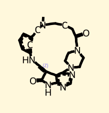 CN1CCCC(=O)N2CCN(CC2)c2ncnc3c2/C(=C/Nc2cccc(c2)C1)C(=O)N3